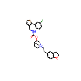 O=C(NCc1ccsc1-c1cccc(F)c1)OC1C[N+]2(CCc3ccc4c(c3)CCO4)CCC1CC2